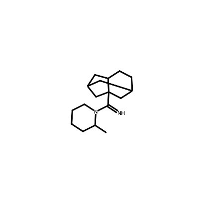 CC1CCCCN1C(=N)C12CC3CCC1CC(C3)C2